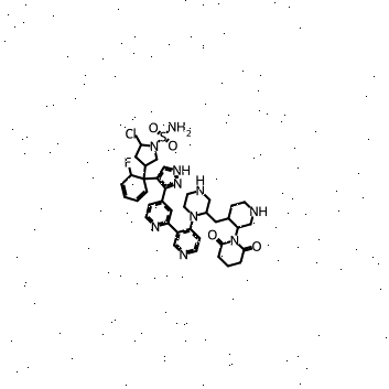 NS(=O)(=O)N1CC(C2(c3c[nH]nc3-c3ccnc(-c4cnccc4N4CCNCC4CC4CCNCC4N4C(=O)CCCC4=O)c3)C=CC=CC2F)CC1Cl